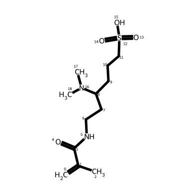 C=C(C)C(=O)NCCC(CCCS(=O)(=O)O)N(C)C